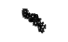 C1=CC2C=Cc3ccc(-c4ccc5c(c4)C4(c6ccccc6Oc6ccc(-c7ccc8ccc9ccccc9c8n7)cc64)c4ccccc4-5)nc3C2C=C1